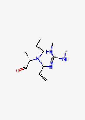 C=CC(N=C(NC)NC)N(CCC)[C@@H](C)C=O